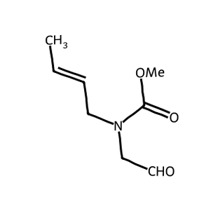 CC=CCN(CC=O)C(=O)OC